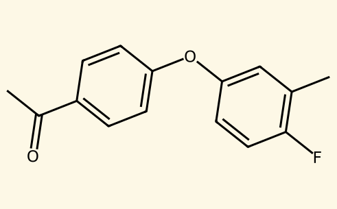 CC(=O)c1ccc(Oc2ccc(F)c(C)c2)cc1